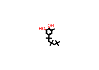 Cc1cc(C(C)(C)CC(C)(C)CC(C)(C)C)cc(O)c1O